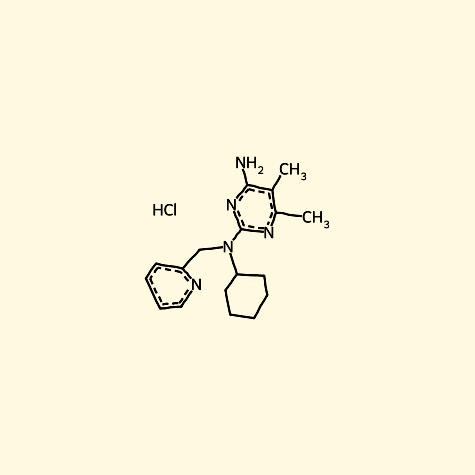 Cc1nc(N(Cc2ccccn2)C2CCCCC2)nc(N)c1C.Cl